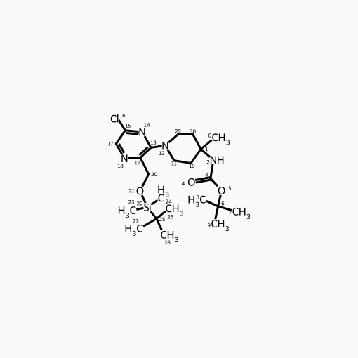 CC1(NC(=O)OC(C)(C)C)CCN(c2nc(Cl)cnc2CO[Si](C)(C)C(C)(C)C)CC1